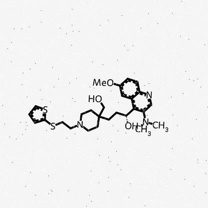 COc1ccc2ncc(N(C)C)c([C@H](O)CCC3(CO)CCN(CCSc4cccs4)CC3)c2c1